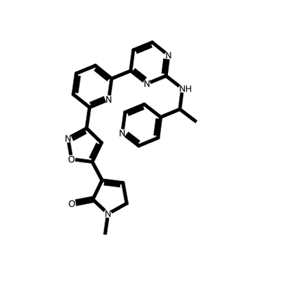 CC(Nc1nccc(-c2cccc(-c3cc(C4=CCN(C)C4=O)on3)n2)n1)c1ccncc1